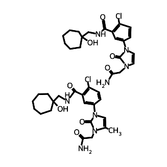 Cc1cn(-c2ccc(Cl)c(C(=O)NCC3(O)CCCCCC3)c2)c(=O)n1CC(N)=O.NC(=O)Cn1ccn(-c2ccc(Cl)c(C(=O)NCC3(O)CCCCCC3)c2)c1=O